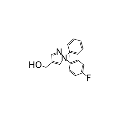 OCC1=C[N+](c2ccccc2)(c2ccc(F)cc2)N=C1